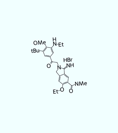 Br.CCNc1cc(C(=O)CN2Cc3cc(OCC)c(C(=O)NC)cc3C2=N)cc(C(C)(C)C)c1OC